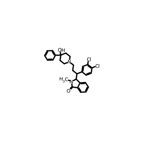 CN1C(=O)c2ccccc2C1C(CCN1CCC(O)(c2ccccc2)CC1)c1ccc(Cl)c(Cl)c1